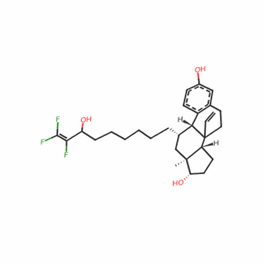 C=CC12CCc3cc(O)ccc3[C@H]1[C@@H](CCCCCCC(O)C(F)=C(F)F)C[C@]1(C)[C@@H](O)CC[C@@H]21